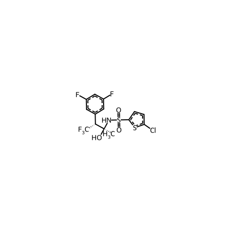 C[C@@](O)(NS(=O)(=O)c1ccc(Cl)s1)[C@@H](c1cc(F)cc(F)c1)C(F)(F)F